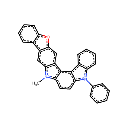 Cn1c2cc3c(cc2c2c4c5ccccc5n(-c5ccccc5)c4ccc21)oc1ccccc13